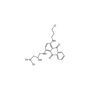 CCN(CC)CC(O)CNc1ccc(NCCCCl)c2c1C(=O)c1ccccc1C2=O